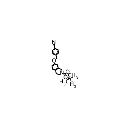 CC(C)(C)OC(=O)N1CCc2ccc(OCc3ccc(C#N)cc3)cc2C1